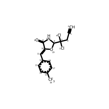 C#CCC(Cl)(Cl)C1NC(=O)C(=Cc2ccc(C(F)(F)F)cc2)O1